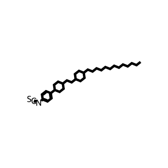 CCCCCCCCCCCCCC1CCC(CCC2CCC(c3ccc(N=C=S)cc3)CC2)CC1